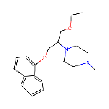 CCOCC(COc1cccc2ccccc12)N1CCN(C)CC1